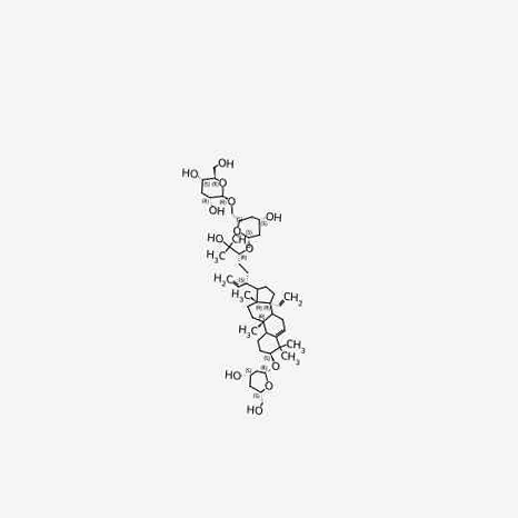 C=C[C@H](CC[C@@H](O[C@H]1C[C@@H](O)C[C@@H](CO[C@@H]2O[C@H](CO)[C@@H](O)C[C@H]2O)O1)C(C)(C)O)C1CC[C@@]2(C=C)C3CC=C4C(CC[C@H](O[C@H]5C[C@@H](O)C[C@@H](CO)O5)C4(C)C)[C@]3(C)CC[C@]12C